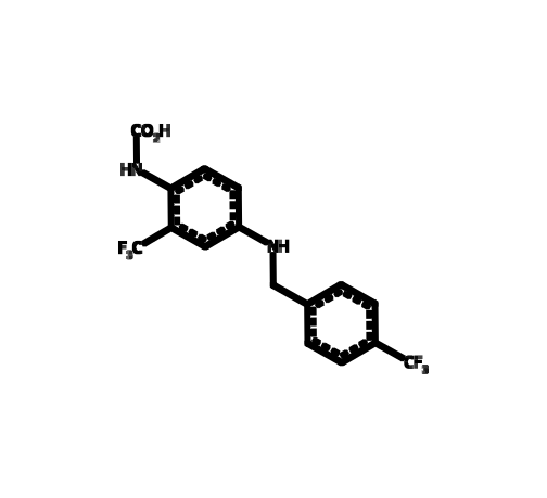 O=C(O)Nc1ccc(NCc2ccc(C(F)(F)F)cc2)cc1C(F)(F)F